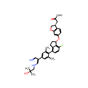 COC(=O)C[C@@H]1COc2cc(O[C@@H]3CCc4c(-c5c(C)cc(/C(C=N)=C/NCC(C)(C)O)cc5C)ccc(F)c43)ccc21